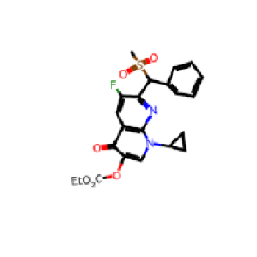 CCOC(=O)Oc1cn(C2CC2)c2nc(C(c3ccccc3)S(C)(=O)=O)c(F)cc2c1=O